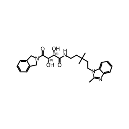 Cc1nc2ccccc2n1CCC(C)(C)CCNC(=O)[C@H](O)[C@@H](O)C(=O)N1Cc2ccccc2C1